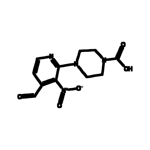 O=Cc1ccnc(N2CCN(C(=O)O)CC2)c1[N+](=O)[O-]